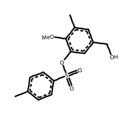 COc1c(C)cc(CO)cc1OS(=O)(=O)c1ccc(C)cc1